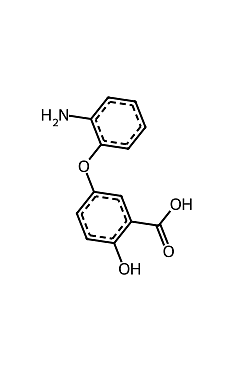 Nc1ccccc1Oc1ccc(O)c(C(=O)O)c1